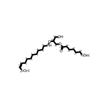 CCCCCCCC/C=C\CCCCCCCCPOC(CO)COC(=O)CCCCCCCCCCCCCCC